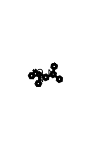 CC1(C)c2ccccc2-c2c1oc1c3cc(-c4cc(-c5ccccc5)cc(-c5ccccc5)n4)ccc3n(-c3ccccc3)c21